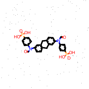 O=CN(c1ccc(P(=O)(O)O)cc1)c1ccc2c(c1)Cc1ccc(N(C=O)c3ccc(P(=O)(O)O)cc3)cc1C2